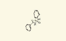 O=C(NS(=O)(=O)Nc1ccccc1)c1ccccc1